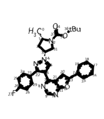 C[C@H]1C[C@@H](n2cc(-c3ncnc4oc(-c5ccccc5)cc34)c(-c3ccc(F)cc3)n2)CN1C(=O)OC(C)(C)C